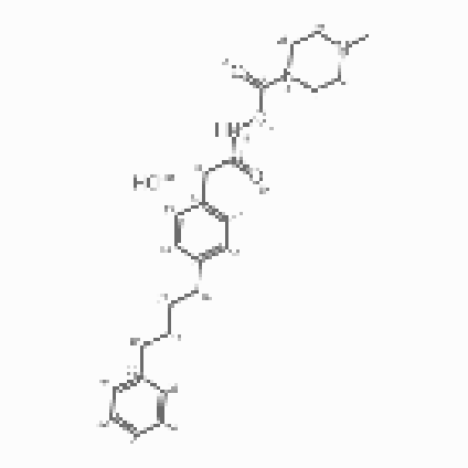 CN1CCN(C(=O)ONC(=O)Cc2ccc(CCCCc3ccccc3)cc2)CC1.Cl